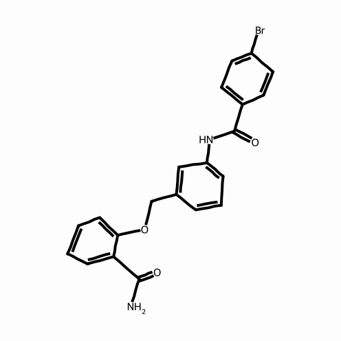 NC(=O)c1ccccc1OCc1cccc(NC(=O)c2ccc(Br)cc2)c1